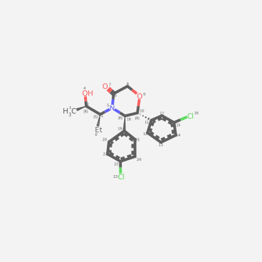 CC[C@@H]([C@@H](C)O)N1C(=O)CO[C@H](c2cccc(Cl)c2)[C@H]1c1ccc(Cl)cc1